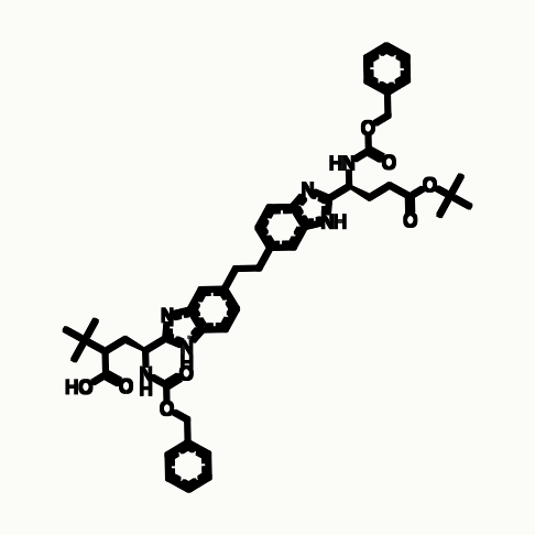 CC(C)(C)OC(=O)CC[C@H](NC(=O)OCc1ccccc1)c1nc2ccc(CCc3ccc4[nH]c([C@H](CC(C(=O)O)C(C)(C)C)NC(=O)OCc5ccccc5)nc4c3)cc2[nH]1